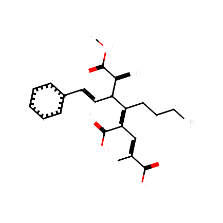 C=C(C(=O)OC)C(C=Cc1ccccc1)C(CCCC)=C(C=C(C)C(=O)O)C(=O)O